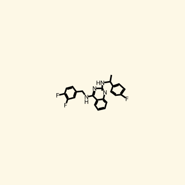 CC(Nc1nc(NCc2ccc(F)c(F)c2)c2ccccc2n1)c1ccc(F)cc1